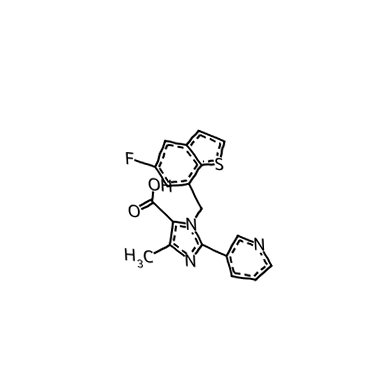 Cc1nc(-c2cccnc2)n(Cc2cc(F)cc3ccsc23)c1C(=O)O